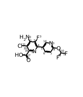 Nc1c(F)c(-c2ccc(OC(F)F)nc2)nc(C(=O)O)c1Cl